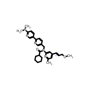 COC/C=C/c1cc(C)nc(N(Cc2ccc(-c3ccc(N(C)C)nc3)nc2)C(=O)C2CCCCC2)c1